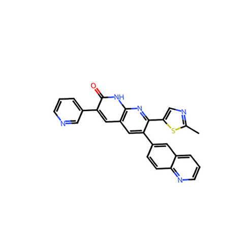 Cc1ncc(-c2nc3[nH]c(=O)c(-c4cccnc4)cc3cc2-c2ccc3ncccc3c2)s1